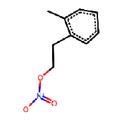 Cc1ccccc1CCO[N+](=O)[O-]